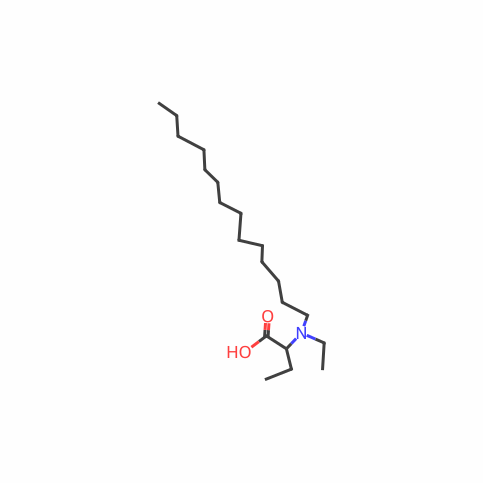 CCCCCCCCCCCCCCN(CC)C(CC)C(=O)O